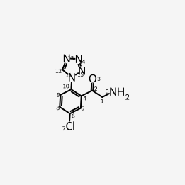 NCC(=O)c1cc(Cl)ccc1-n1cnnn1